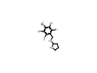 Fc1c(F)c(COC2CCCO2)c(F)c(F)c1Br